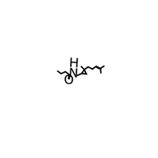 CCCC(=O)NCC1CC1(C)CCC=C(C)C